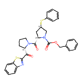 O=C(c1nc2ccccc2s1)[C@@H]1CCCN1C(=O)[C@@H]1C[C@@H](Sc2ccccc2)CN1C(=O)OCc1ccccc1